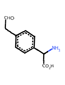 NC(C(=O)O)c1ccc(C[C]=O)cc1